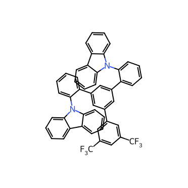 FC(F)(F)c1cc(-c2cc(-c3ccccc3-n3c4ccccc4c4ccccc43)cc(-c3ccccc3-n3c4ccccc4c4ccccc43)c2)cc(C(F)(F)F)c1